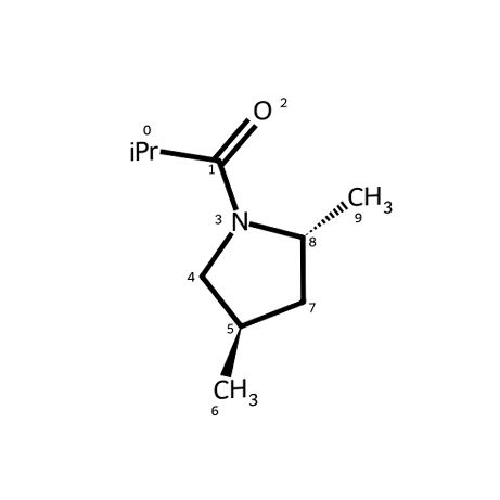 CC(C)C(=O)N1C[C@H](C)C[C@H]1C